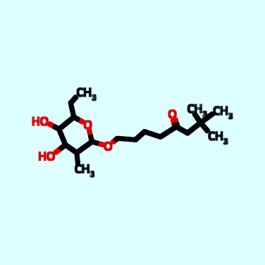 CCC1OC(OCCCCC(=O)CC(C)(C)C)C(C)C(O)C1O